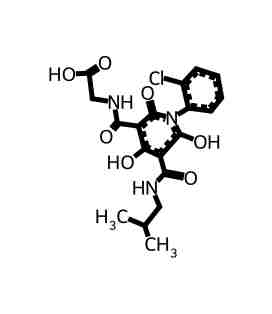 CC(C)CNC(=O)c1c(O)c(C(=O)NCC(=O)O)c(=O)n(-c2ccccc2Cl)c1O